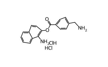 Cl.Cl.NCc1ccc(C(=O)Oc2ccc3ccccc3c2N)cc1